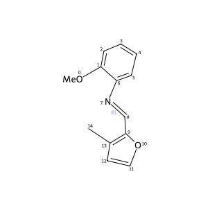 COc1ccccc1/N=C/c1occc1C